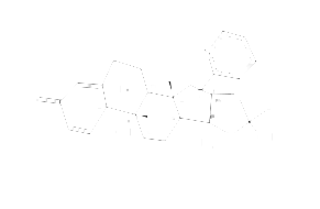 CC1(C)O[C@@H]2C[C@H]3[C@@H]4CCC5=CC(=O)C=C[C@]5(C)[C@@]4(F)[C@@H](O)C[C@]3(C)[C@]2(Sc2ccccn2)O1.O